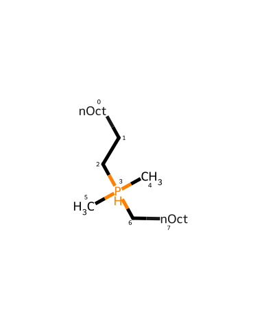 CCCCCCCCCC[PH](C)(C)CCCCCCCCC